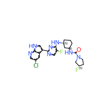 O=C(N[C@@H]1CCC[C@H](Nc2nc(-c3c[nH]c4ncc(Cl)cc34)ncc2F)C1)N1CC[C@H](F)C1